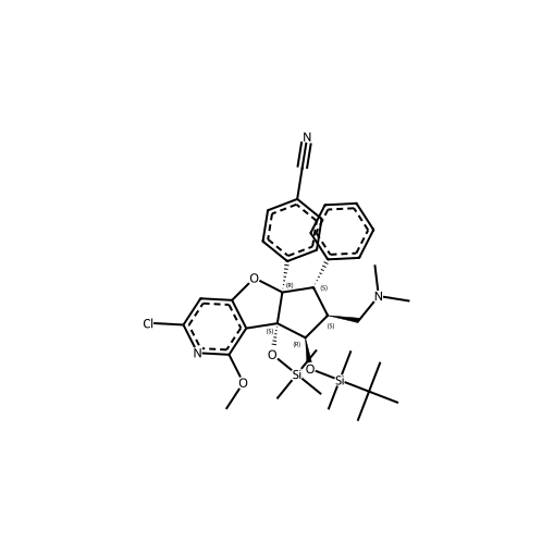 COc1nc(Cl)cc2c1[C@]1(O[Si](C)(C)C)[C@H](O[Si](C)(C)C(C)(C)C)[C@H](CN(C)C)[C@@H](c3ccccc3)[C@]1(c1ccc(C#N)cc1)O2